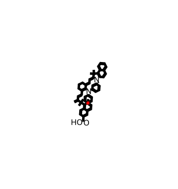 C=C(/C=C/C1=C(N(c2ccccc2)c2ccccc2)C(=C/C=C2\N(C)c3ccc4ccccc4c3C2(C)C)/CCC1)C(C)(C)c1c(C)ccc2cc(C(=O)O)ccc12